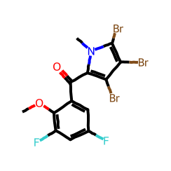 COc1c(F)cc(F)cc1C(=O)c1c(Br)c(Br)c(Br)n1C